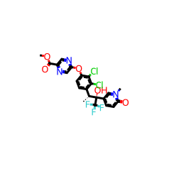 COC(=O)c1cnc(Oc2ccc([C@@H](C)[C@@](O)(c3ccc(=O)n(C)c3)C(F)(F)F)c(Cl)c2Cl)cn1